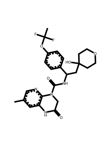 Cc1cnc2c(c1)NC(=O)CN2C(=O)NC(CC1(O)CCOCC1)c1ccc(OC(C)(F)F)cc1